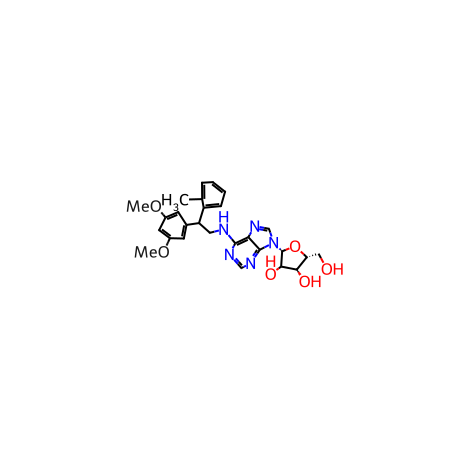 COc1cc(OC)cc(C(CNc2ncnc3c2ncn3[C@@H]2O[C@H](CO)[C@@H](O)C2O)c2ccccc2C)c1